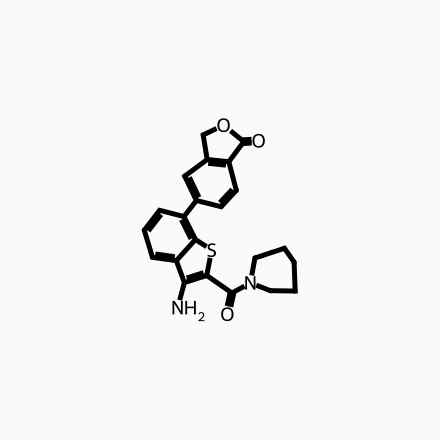 Nc1c(C(=O)N2CCCCC2)sc2c(-c3ccc4c(c3)COC4=O)cccc12